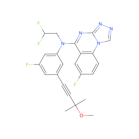 COC(C)(C)C#Cc1cc(F)cc(N(CC(F)F)c2nc3nncn3c3ccc(F)cc23)c1